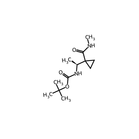 CNC(=O)C1([C@H](C)NC(=O)OC(C)(C)C)CC1